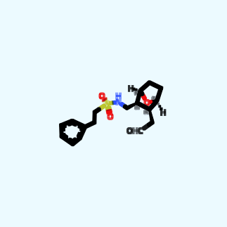 O=CC[C@H]1[C@@H](CNS(=O)(=O)CCc2ccccc2)[C@H]2CC[C@@H]1O2